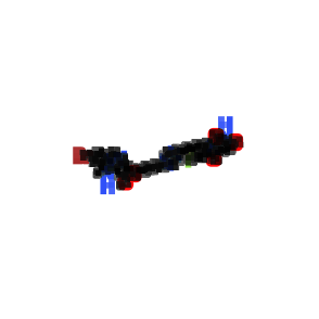 COc1cc2c(NC(C)c3cccc(Br)c3)nc(C)nc2cc1OCCCCCCN1CCN(CCCc2cc3c(cc2F)C(=O)N(C2CCC(=O)NC2=O)C3)CC1